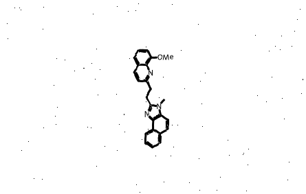 COc1cccc2ccc(CCc3nc4c5ccccc5ccc4n3C)nc12